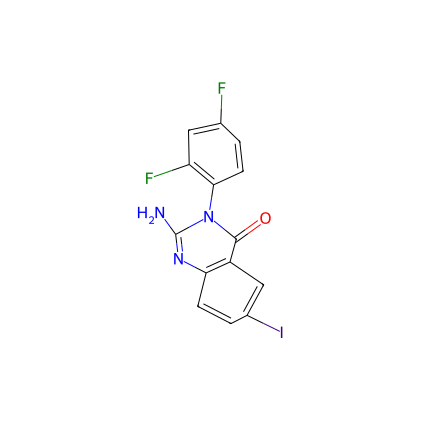 Nc1nc2ccc(I)cc2c(=O)n1-c1ccc(F)cc1F